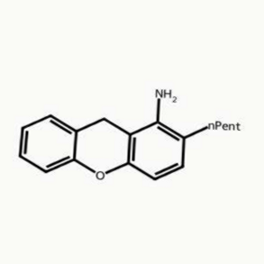 CCCCCc1ccc2c(c1N)Cc1ccccc1O2